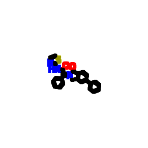 O=C(Nc1nccs1)[C@@H](c1ccccc1)N1Cc2cc(-c3ccccc3)ccc2C1=O